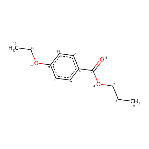 CCCOC(=O)c1ccc(OCC)cc1